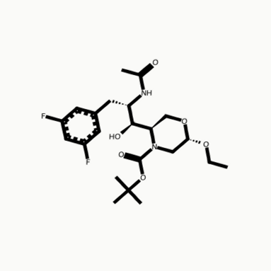 CCO[C@@H]1CN(C(=O)OC(C)(C)C)[C@@H]([C@@H](O)[C@H](Cc2cc(F)cc(F)c2)NC(C)=O)CO1